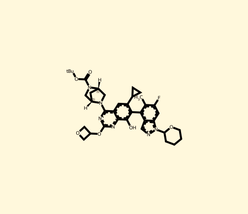 Cc1c(F)cc2c(cnn2C2CCCCO2)c1-c1c(C2CC2)cc2c(N3C[C@@H]4C[C@H]3CN4C(=O)OC(C)(C)C)nc(OC3COC3)nc2c1O